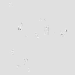 C[C@]1(NC(=O)c2cc3c(cn2)c(-c2cncc(OC(F)F)c2)cn3-c2ccc(F)cc2)CCS(=O)(=O)C1